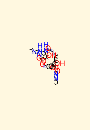 C/C1=C/C=C/C(C)CCC(O)C[C@H](OC(=O)CC(=O)N2CCN(C3CCCCC3)CC2)CC/C=C/OC2(C)Oc3c(C)c(O)c4c(c3C2=O)C2=NC3(CCN(CC(C)C)CC3)NC2=C(NC1=O)C4C